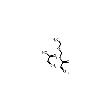 C=CC(=O)NCOCC.C=CC(=O)O